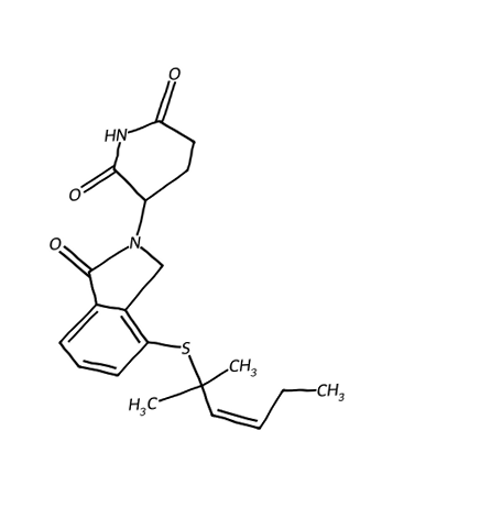 CC/C=C\C(C)(C)Sc1cccc2c1CN(C1CCC(=O)NC1=O)C2=O